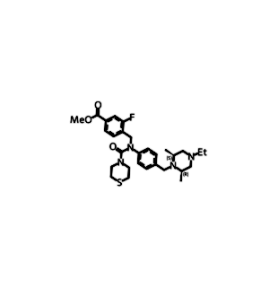 CCN1C[C@@H](C)N(Cc2ccc(N(Cc3ccc(C(=O)OC)cc3F)C(=O)N3CCSCC3)cc2)[C@@H](C)C1